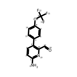 Nc1ccc(-c2ccc(OC(F)(F)F)cc2)c(C=O)n1